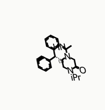 CC(=N)N1CC(=O)N(C(C)C)C[C@@H]1C(c1c#cccc1)c1ccccc1